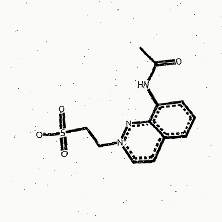 CC(=O)Nc1cccc2cc[n+](CCS(=O)(=O)[O-])nc12